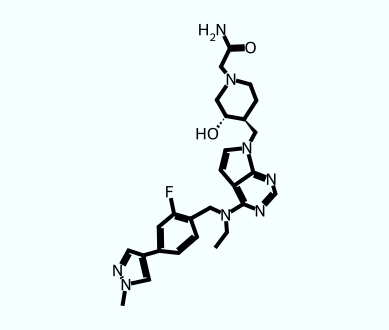 CCN(Cc1ccc(-c2cnn(C)c2)cc1F)c1ncnc2c1ccn2C[C@@H]1CCN(CC(N)=O)C[C@H]1O